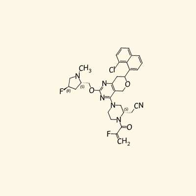 C=C(F)C(=O)N1CCN(c2nc(OC[C@@H]3C[C@@H](F)CN3C)nc3c2COC(c2cccc4cccc(Cl)c24)C3)C[C@@H]1CC#N